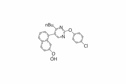 CCCCc1nc(Oc2ccc(Cl)cc2)ncc1-c1cccc2ccc(OO)cc12